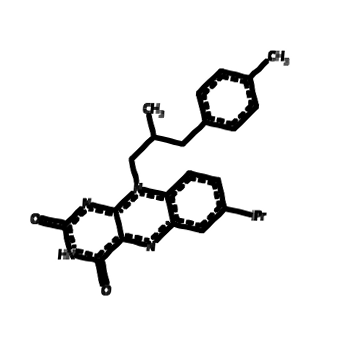 Cc1ccc(CC(C)Cn2c3nc(=O)[nH]c(=O)c-3nc3cc(C(C)C)ccc32)cc1